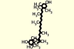 CC1=C(/C=C/C(C)=C/C=C/C(C)=C/C=C/C=C(C)/C=C/C=C(\C)C=C=C2C(C)(C)C[C@H](O)C[C@@]2(C)O)C(C)(C)C[C@H](O)C1